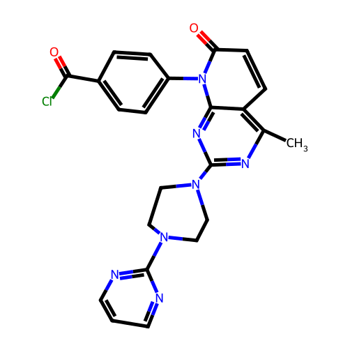 Cc1nc(N2CCN(c3ncccn3)CC2)nc2c1ccc(=O)n2-c1ccc(C(=O)Cl)cc1